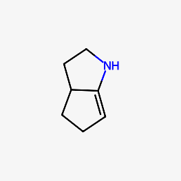 C1=C2NCCC2CC1